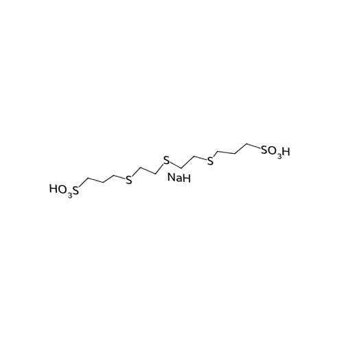 O=S(=O)(O)CCCSCCSCCSCCCS(=O)(=O)O.[NaH]